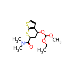 CCOC(OC)OC1CC(C(=O)N(C)C)Sc2sccc21